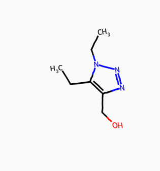 CCc1c(CO)nnn1CC